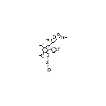 COCCOCCOc1c(OC)cc(C(C)C)c(/C=C/C(O)CC(=O)CC(=O)O)c1-c1ccc(F)cc1